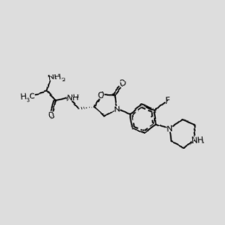 CC(N)C(=O)NC[C@H]1CN(c2ccc(N3CCNCC3)c(F)c2)C(=O)O1